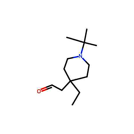 CCC1(CC=O)CCN(C(C)(C)C)CC1